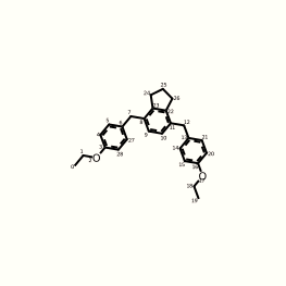 CCOc1ccc(Cc2ccc(Cc3ccc(OCC)cc3)c3c2CCC3)cc1